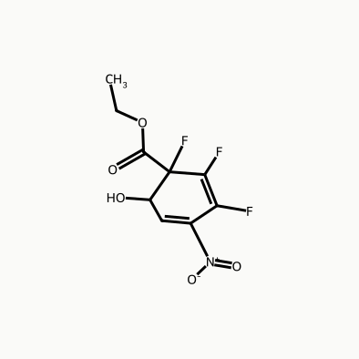 CCOC(=O)C1(F)C(F)=C(F)C([N+](=O)[O-])=CC1O